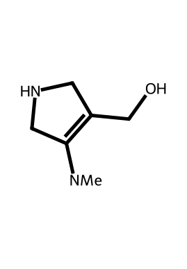 CNC1=C(CO)CNC1